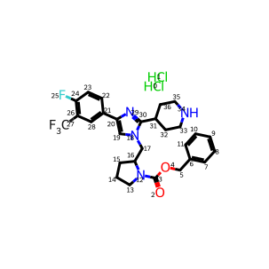 Cl.Cl.O=C(OCc1ccccc1)N1CCCC1Cn1cc(-c2ccc(F)c(C(F)(F)F)c2)nc1C1CCNCC1